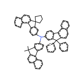 CC1(C)c2cc(N(c3ccc4c(c3)C3(CCCC3)c3ccc5ccccc5c3-4)c3ccc4c(c3)C(c3ccccc3)(c3ccccc3)c3ccc5ccccc5c3-4)ccc2-c2c1ccc1ccccc21